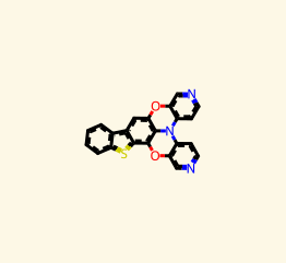 c1ccc2c(c1)sc1c3c4c(cc12)Oc1cnccc1N4c1ccncc1O3